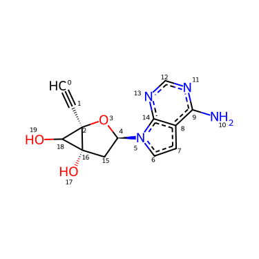 C#C[C@]12O[C@@H](n3ccc4c(N)ncnc43)C[C@@]1(O)C2O